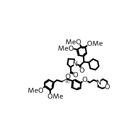 COc1ccc(CC[C@@H](OC(=O)C2CCCN2C(=O)C(c2cc(OC)c(OC)c(OC)c2)C2CCCCC2)c2cccc(OCCN3CCOCC3)c2)cc1OC